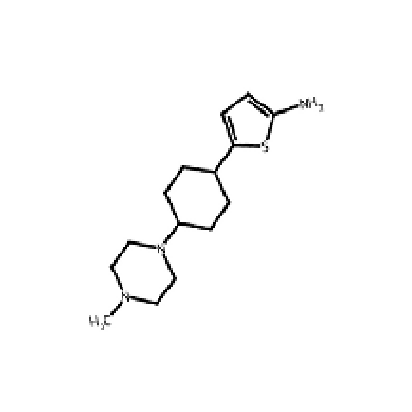 CN1CCN(C2CCC(c3ccc(N)s3)CC2)CC1